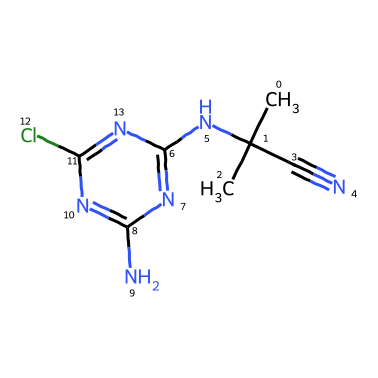 CC(C)(C#N)Nc1nc(N)nc(Cl)n1